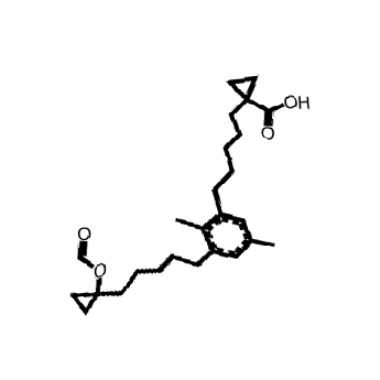 Cc1cc(CCCCCC2(OC=O)CC2)c(C)c(CCCCCC2(C(=O)O)CC2)c1